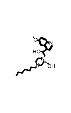 CCCCCCCN1CCN(C[C@@H](O)c2ccnc3ccc(OC)cc23)[C@H](CO)C1